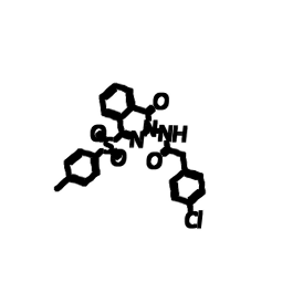 Cc1ccc(S(=O)(=O)c2nn(NC(=O)Cc3ccc(Cl)cc3)c(=O)c3ccccc23)cc1